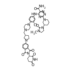 CN1CCN(C2CCCN(c3nnc(C(N)=O)c(Nc4ccc(N5CCN(CC6CCN(c7ccc8c(c7)C(=O)N(C7CCC(=O)NC7=O)C8=O)C6)CC5)c(Cl)c4)n3)C2)C1=O